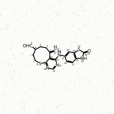 C=C1CCC(C=O)CCSc2ncnc(Nc3ccc4[nH]c(=O)sc4c3)c21